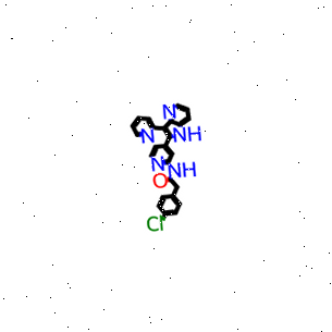 O=C(Cc1ccc(Cl)cc1)Nc1cc(-c2[nH]c3cccnc3c2-c2ccccn2)ccn1